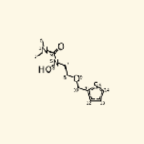 CN(C)C(=O)N(O)CCOCc1cccs1